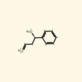 C=CC[C@@H](OC(C)=O)c1ccccc1